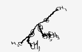 CCCCCCCCCC(=O)OCCCCCCC(CCCCCCOC(=O)CC(CCCCCCC)CCCCCCC)OCC(=O)OCCN(CC)CCN(CC)CC